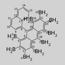 Bc1c(B)c(B)c2c(-c3cccc4ccccc34)c3c(B)c(B)c(B)c(B)c3c(B)c2c1B